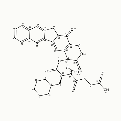 CC[C@@]1(OC(=O)[C@H](CC2CCCCC2)NC(=O)CCC(=O)O)C(=O)OCc2c1cc1n(c2=O)Cc2cc3ccccc3nc2-1